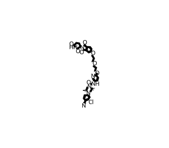 C[C@@H]1CN(c2ccc(C#N)c(Cl)c2)[C@@H](C)CN1C(=O)Nc1ccc(OCCCOCCCOc2ccc3c(c2)C(=O)N(C2CCC(=O)NC2=O)C3=O)nc1